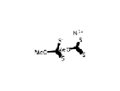 COC(=S)[S-].COC(=S)[S-].[Ni+2]